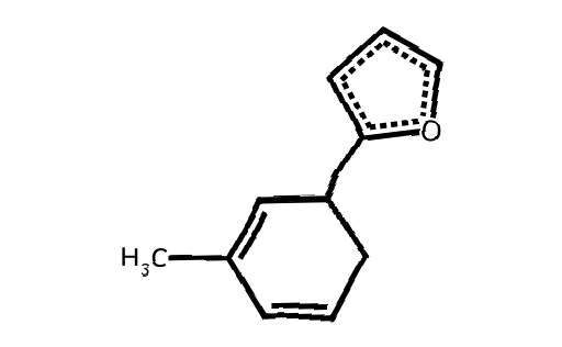 CC1=CC(c2ccco2)CC=C1